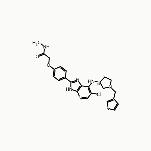 CNC(=O)COc1ccc(-c2nc3c(N[C@H]4CCN(Cc5ccsc5)C4)c(Cl)cnc3[nH]2)cc1